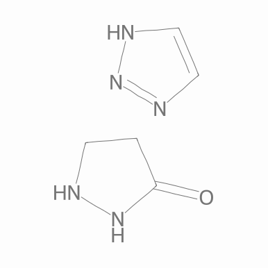 O=C1CCNN1.c1c[nH]nn1